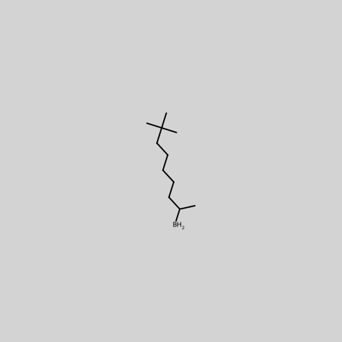 BC(C)CCCCCC(C)(C)C